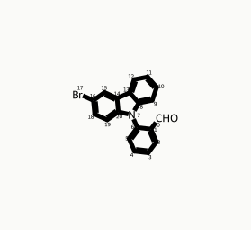 O=Cc1ccccc1-n1c2ccccc2c2cc(Br)ccc21